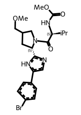 COCC1C[C@@H](c2ncc(-c3ccc(Br)cc3)[nH]2)N(C(=O)[C@@H](NC(=O)OC)C(C)C)C1